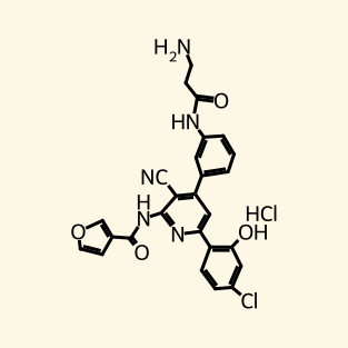 Cl.N#Cc1c(-c2cccc(NC(=O)CCN)c2)cc(-c2ccc(Cl)cc2O)nc1NC(=O)c1ccoc1